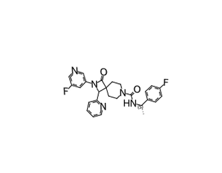 C[C@H](NC(=O)N1CCC2(CC1)C(=O)N(c1cncc(F)c1)C2c1ccccn1)c1ccc(F)cc1